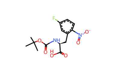 CC(C)(C)OC(=O)N[C@@H](Cc1cc(F)ccc1[N+](=O)[O-])C(=O)O